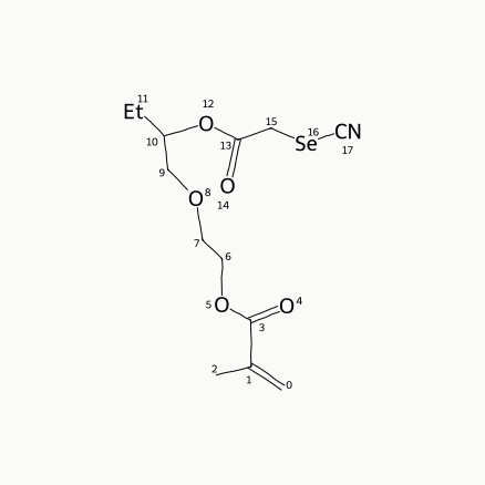 C=C(C)C(=O)OCCOCC(CC)OC(=O)C[Se]C#N